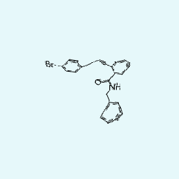 O=C(NCc1ccccc1)c1ccccc1C#Cc1ccc(Br)cc1